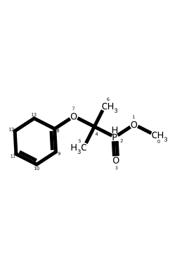 CO[PH](=O)C(C)(C)OC1=CC=CCC1